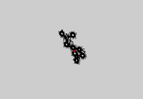 c1ccc(-c2nc(-c3ccccc3)nc(-c3cccc4c3oc3cc(-c5ccc6sc7cccc(-n8c9ccccc9c9ccccc98)c7c6c5)ccc34)n2)cc1